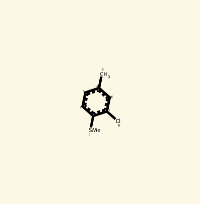 CSc1ccc(C)cc1Cl